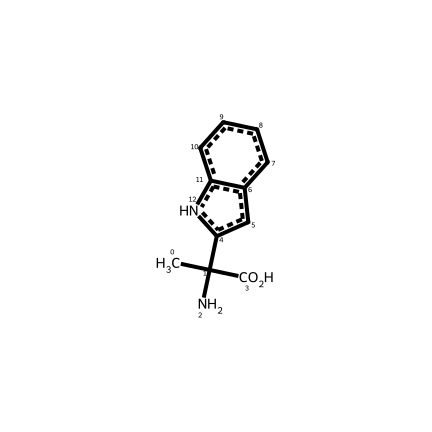 CC(N)(C(=O)O)c1cc2ccccc2[nH]1